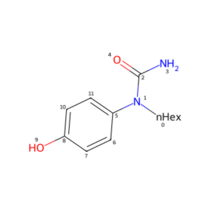 CCCCCCN(C(N)=O)c1ccc(O)cc1